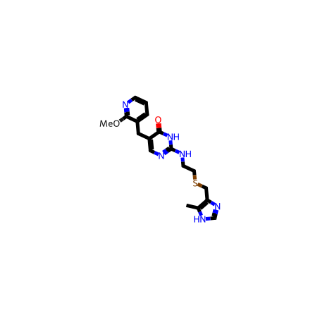 COc1ncccc1Cc1cnc(NCCSCc2nc[nH]c2C)[nH]c1=O